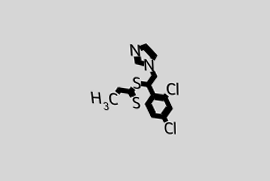 CCC(=S)SC(Cn1ccnc1)c1ccc(Cl)cc1Cl